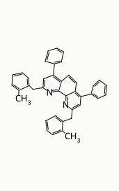 Cc1ccccc1Cc1cc(-c2ccccc2)c2ccc3c(-c4ccccc4)cc(Cc4ccccc4C)nc3c2n1